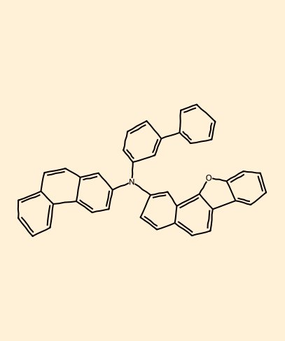 c1ccc(-c2cccc(N(c3ccc4c(ccc5ccccc54)c3)c3ccc4ccc5c6ccccc6oc5c4c3)c2)cc1